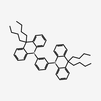 CCCCC1(CCCC)c2ccccc2N(c2cccc(N3c4ccccc4C(CCCC)(CCCC)c4ccccc43)c2)c2ccccc21